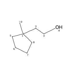 [CH2]C1(CCO)CCCC1